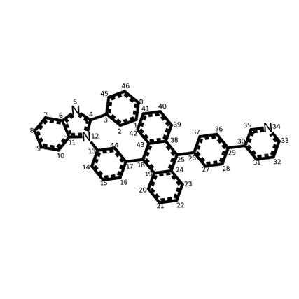 c1ccc(-c2nc3ccccc3n2-c2cccc(-c3c4ccccc4c(-c4ccc(-c5cccnc5)cc4)c4ccccc34)c2)cc1